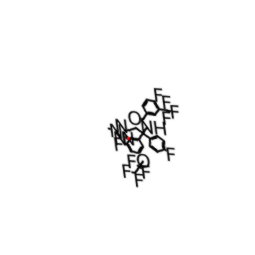 Cn1nnc(CC(NC(=O)c2ccc(F)c(C(F)(F)F)c2)(c2ccc(F)cc2)c2cc(F)cc(OC(F)(F)C(F)F)c2)n1